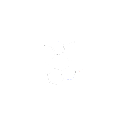 Cc1[nH]c(C)c(C(=O)O)c1C.O=C1Cc2cc(Cl)ccc2N1